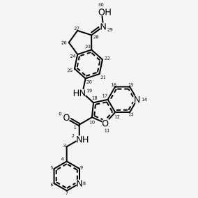 O=C(NCc1cccnc1)c1oc2cnccc2c1Nc1ccc2c(c1)CCC2=NO